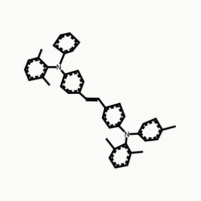 Cc1ccc(N(c2ccc(/C=C/c3ccc(N(c4ccccc4)c4c(C)cccc4C)cc3)cc2)c2c(C)cccc2C)cc1